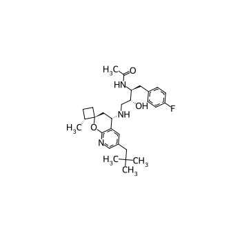 CC(=O)N[C@@H](Cc1ccc(F)cc1)[C@H](O)CN[C@H]1C[C@@]2(CC[C@H]2C)Oc2ncc(CC(C)(C)C)cc21